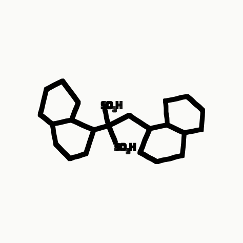 O=S(=O)(O)C(CC1CCCC2CCCCC21)(C1CCCC2CCCCC21)S(=O)(=O)O